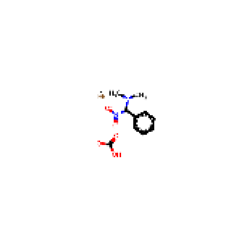 Br.CN(C)C(c1ccccc1)[N+](=O)[O-].O=C(O)O.[Zr]